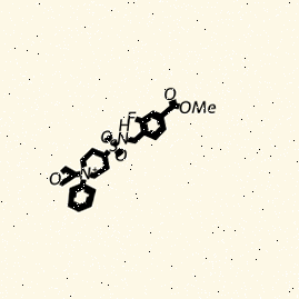 COC(=O)c1ccc(CNS(=O)(=O)C2CC[N+](c3ccccc3)(C3COC3)CC2)c(F)c1